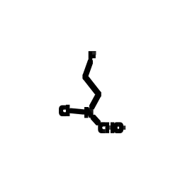 O=[C]N(Cl)CCF